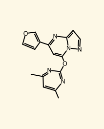 Cc1cc(C)nc(Oc2cc(-c3ccoc3)nc3ccnn23)n1